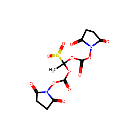 CC(OC(=O)ON1C(=O)CCC1=O)(OC(=O)ON1C(=O)CCC1=O)[SH](=O)=O